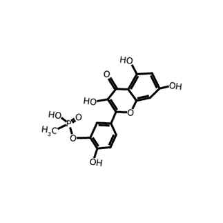 CP(=O)(O)Oc1cc(-c2oc3cc(O)cc(O)c3c(=O)c2O)ccc1O